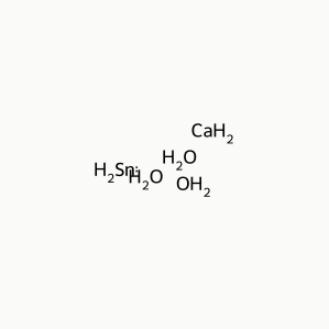 O.O.O.[CaH2].[SnH2]